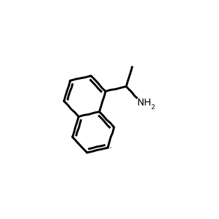 CC(N)c1cccc2cc[c]cc12